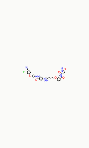 N#Cc1ccc(O[C@H]2C[C@H](NC(=O)c3ccc(-n4cc(CCCCOc5cccc6c5CN(C5CCC(=O)NC5=O)C6=O)nn4)cc3)C2)cc1Cl